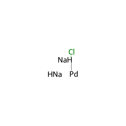 [Cl][Pd].[NaH].[NaH]